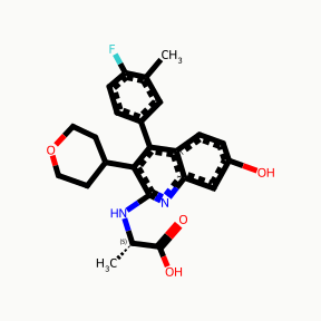 Cc1cc(-c2c(C3CCOCC3)c(N[C@@H](C)C(=O)O)nc3cc(O)ccc23)ccc1F